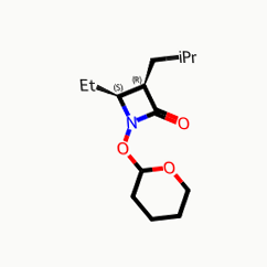 CC[C@H]1[C@@H](CC(C)C)C(=O)N1OC1CCCCO1